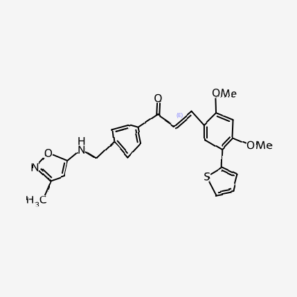 COc1cc(OC)c(-c2cccs2)cc1/C=C/C(=O)c1ccc(CNc2cc(C)no2)cc1